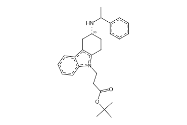 CC(N[C@@H]1CCc2c(c3ccccc3n2CCC(=O)OC(C)(C)C)C1)c1ccccc1